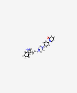 O=c1ccccn1-c1ccc(N2CCN(CCCc3c[nH]c4ccccc34)CC2)cc1